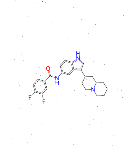 O=C(Nc1ccc2[nH]cc(C3CCN4CCCCC4C3)c2c1)c1ccc(F)c(F)c1